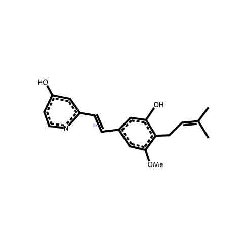 COc1cc(/C=C/c2cc(O)ccn2)cc(O)c1CC=C(C)C